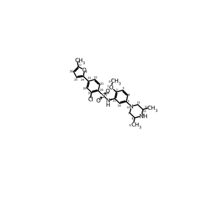 COc1ccc(N2CC(C)NC(C)C2)cc1NS(=O)(=O)c1ccc(-c2ccc(C)o2)cc1Cl